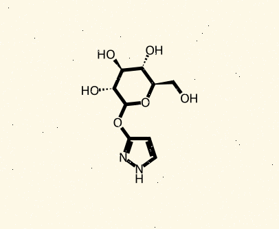 OC[C@H]1OC(Oc2cc[nH]n2)[C@H](O)[C@@H](O)[C@@H]1O